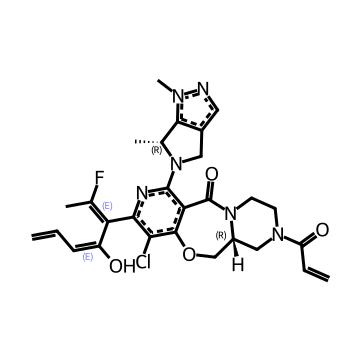 C=C/C=C(O)\C(=C(/C)F)c1nc(N2Cc3cnn(C)c3[C@H]2C)c2c(c1Cl)OC[C@H]1CN(C(=O)C=C)CCN1C2=O